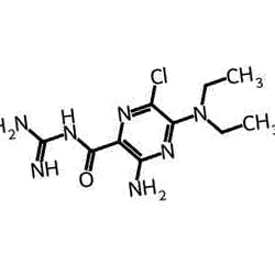 CCN(CC)c1nc(N)c(C(=O)NC(=N)N)nc1Cl